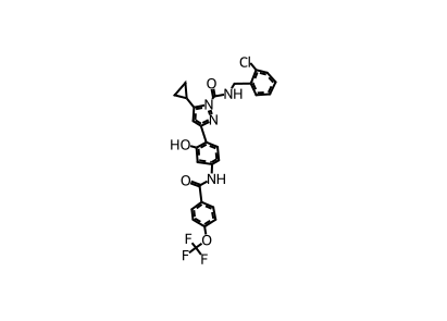 O=C(Nc1ccc(-c2cc(C3CC3)n(C(=O)NCc3ccccc3Cl)n2)c(O)c1)c1ccc(OC(F)(F)F)cc1